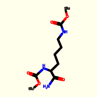 CC(C)(C)OC(=O)NCCCCC(NC(=O)OC(C)(C)C)C(N)=O